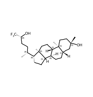 C[C@H](CC[C@@H](O)C(F)(F)F)[C@H]1CC[C@H]2[C@@H]3CC[C@H]4C[C@@](C)(O)CC[C@]4(C)[C@H]3CC[C@]12C